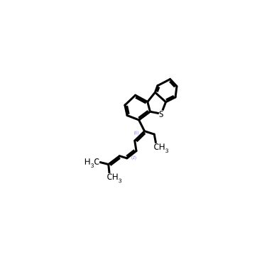 CC/C(=C\C=C/C=C(C)C)c1cccc2c1sc1ccccc12